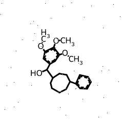 COc1cc(C(O)C2CCCCC(c3ccccc3)CC2)cc(OC)c1OC